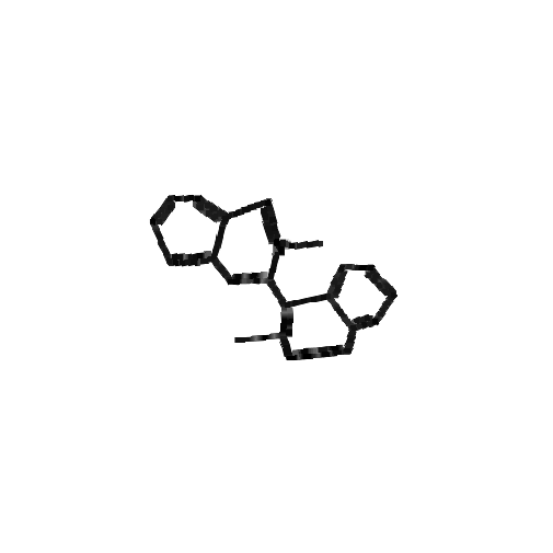 Cc1ccc2ccccc2c1-c1cc2ccccc2c[n+]1C